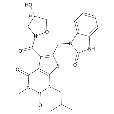 CC(C)Cn1c(=O)n(C)c(=O)c2c(C(=O)N3C[C@H](O)CO3)c(Cn3c(=O)[nH]c4ccccc43)sc21